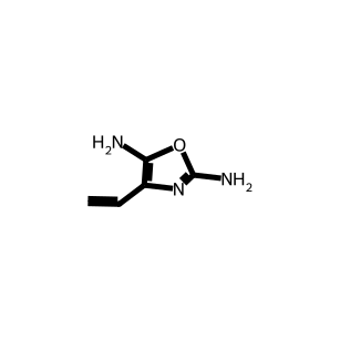 C=Cc1nc(N)oc1N